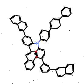 C1=C(c2ccccc2)CCC(c2ccc(N(c3ccc(-c4cccc(-c5ccc6ccccc6c5)c4)cc3)c3cc(-c4ccc5ccccc5c4)ccc3-c3ccc4ccccc4c3)cc2)=C1